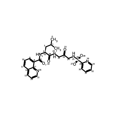 CC(C)C[C@H](NC(=O)c1cccc2cccnc12)C(=O)NCC(=O)CNS(=O)(=O)c1ccccn1